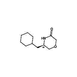 O=C1COC[C@@H](CC2CCCCC2)N1